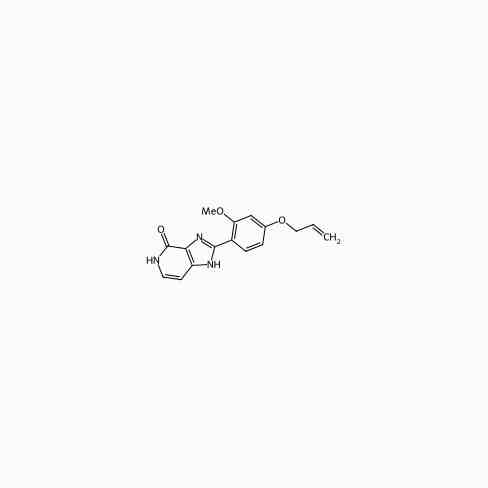 C=CCOc1ccc(-c2nc3c(=O)[nH]ccc3[nH]2)c(OC)c1